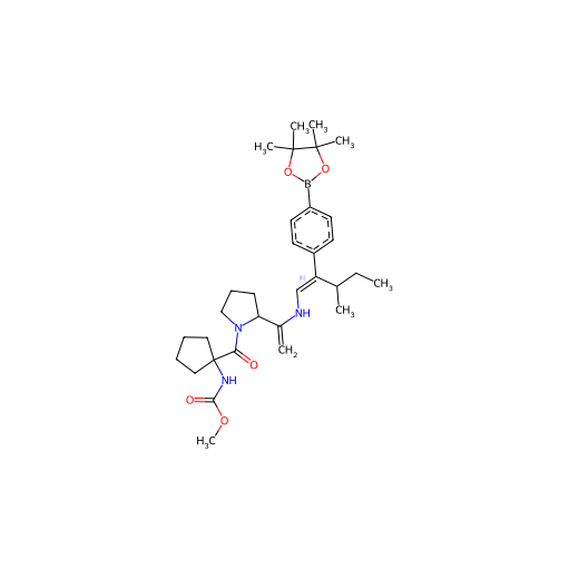 C=C(N/C=C(/c1ccc(B2OC(C)(C)C(C)(C)O2)cc1)C(C)CC)C1CCCN1C(=O)C1(NC(=O)OC)CCCC1